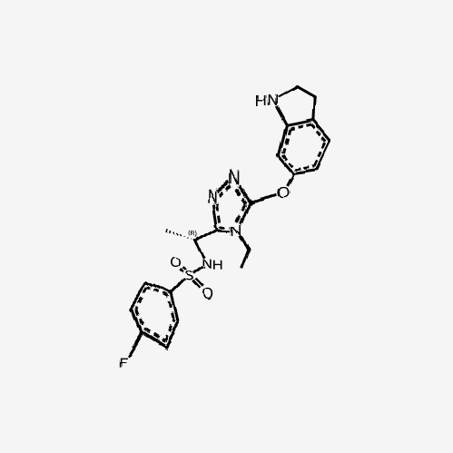 CCn1c(Oc2ccc3c(c2)NCC3)nnc1[C@@H](C)NS(=O)(=O)c1ccc(F)cc1